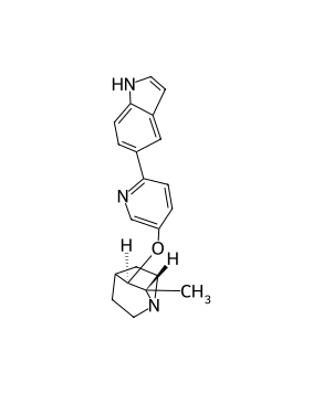 C[C@H]1[C@H](Oc2ccc(-c3ccc4[nH]ccc4c3)nc2)C2CCN1CC2